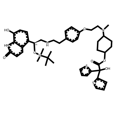 CN(CCOc1ccc(CCNC[C@@H](O[Si](C)(C)C(C)(C)C)c2ccc(O)c3[nH]c(=O)ccc23)cc1)C1CCC(OC(=O)C(O)(c2cccs2)c2cccs2)CC1